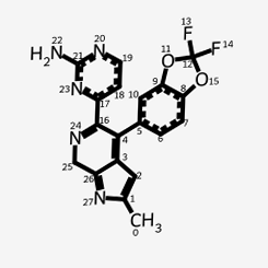 CC1=CC2=C(c3ccc4c(c3)OC(F)(F)O4)C(c3ccnc(N)n3)=NCC2=N1